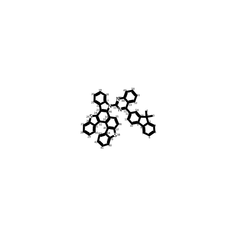 CC1(C)c2ccccc2-c2ccc(-c3nc(-n4c5ccccc5c5c6sc7ccccc7c6c6c(ccc7sc8ccccc8c76)c54)nc4ccccc34)cc21